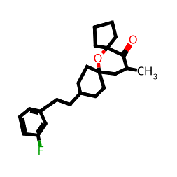 CC1CC2(CCC(CCc3cccc(F)c3)CC2)OC2(CCCC2)C1=O